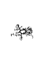 CC1C(NC=O)CC(C)(C)CC1NC=O.[CH3][Ti][CH3]